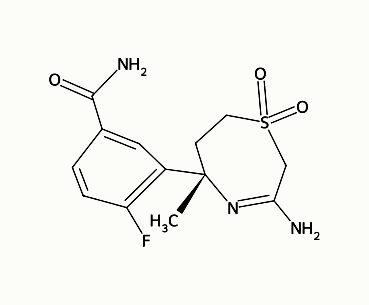 C[C@@]1(c2cc(C(N)=O)ccc2F)CCS(=O)(=O)CC(N)=N1